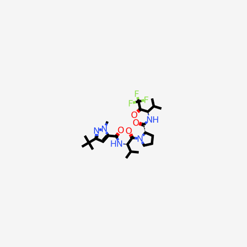 CC(C)[C@H](NC(=O)c1cc(C(C)(C)C)nn1C)C(=O)N1CCC[C@H]1C(=O)N[C@H](C(=O)C(F)(F)F)C(C)C